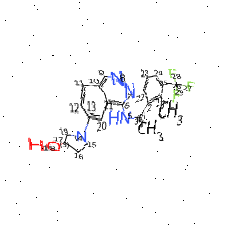 Cc1c([C@@H](C)Nc2nncc3ccc(N4CC[C@H](O)C4)cc23)cccc1C(F)(F)F